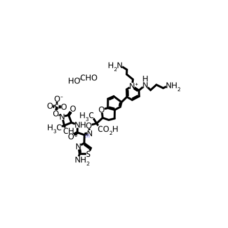 CC(O/N=C(\C(=O)NC1C(=O)N(OS(=O)(=O)[O-])C1(C)C)c1csc(N)n1)(C(=O)O)C1CCc2cc(-c3ccc(NCCCN)[n+](CCCN)c3)ccc2O1.O=CO